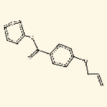 C=CCOc1ccc(C(=O)Oc2ccccc2)cc1